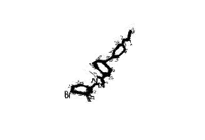 C=CCC1CCC(c2ccc(-c3cnc(-c4ccc(Br)c(F)c4)nc3)cc2)CC1